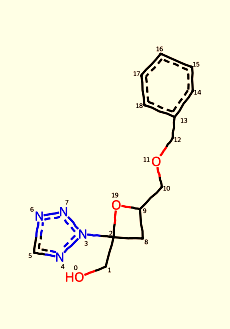 OCC1(n2ncnn2)CC(COCc2ccccc2)O1